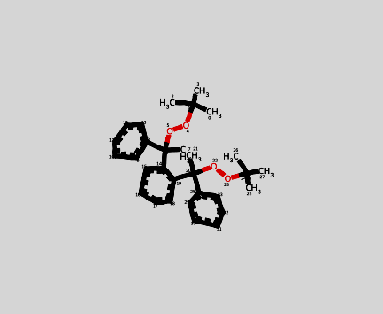 CC(C)(C)OOC(C)(c1ccccc1)c1ccccc1C(C)(OOC(C)(C)C)c1ccccc1